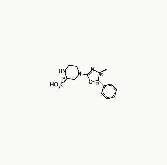 C[C@@H]1N=C(N2CCN[C@H](C(=O)O)C2)O[C@H]1c1ccccc1